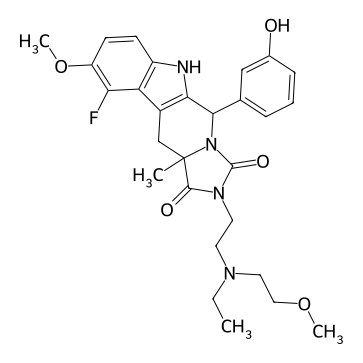 CCN(CCOC)CCN1C(=O)N2C(c3cccc(O)c3)c3[nH]c4ccc(OC)c(F)c4c3CC2(C)C1=O